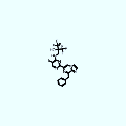 OC(CNc1nc(-c2cn3ccnc3c(Cc3ccccc3)n2)ncc1I)(C(F)(F)F)C(F)(F)F